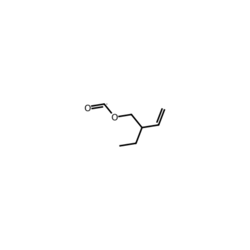 C=CC(CC)CO[C]=O